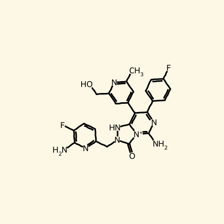 Cc1cc(-c2c(-c3ccc(F)cc3)nc(N)[n+]3c(=O)n(Cc4ccc(F)c(N)n4)[nH]c23)cc(CO)n1